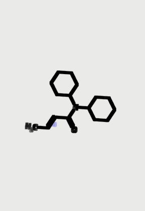 C/C=C/C(=O)N(C1CCCCC1)C1CCCCC1